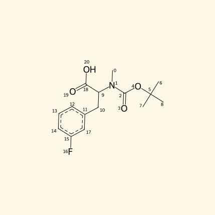 CN(C(=O)OC(C)(C)C)C(Cc1cccc(F)c1)C(=O)O